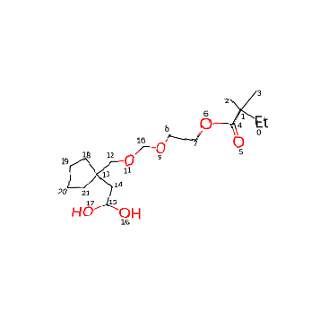 CCC(C)(C)C(=O)OCCOCOCC1(CC(O)O)CCCC1